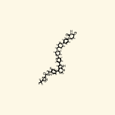 CC(NC(=O)c1noc(C(C)(C)C)n1)c1ccc(-c2ncnc3[nH]c(-c4ccc(N5CCN(CC6CCN(c7ccc(N8CCC(=O)NC8=O)cc7)CC6)CC5)nc4)cc23)cc1F